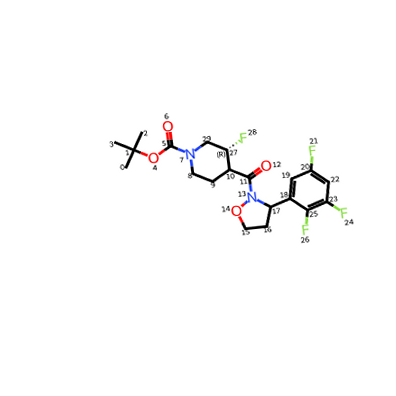 CC(C)(C)OC(=O)N1CCC(C(=O)N2OCCC2c2cc(F)cc(F)c2F)[C@@H](F)C1